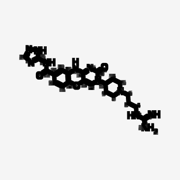 N=C(N)NCCCN1CCC(n2cc3c(nc2=O)Nc2cc(C(=O)Nc4ncn[nH]4)ccc2O3)CC1